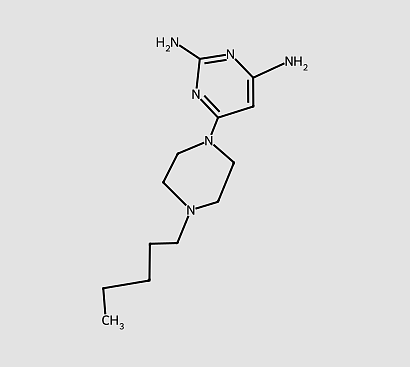 CCCCCN1CCN(c2cc(N)nc(N)n2)CC1